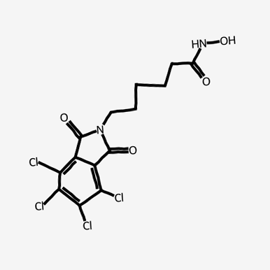 O=C(CCCCCN1C(=O)c2c(Cl)c(Cl)c(Cl)c(Cl)c2C1=O)NO